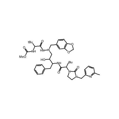 CCC(C)C(C(=O)NC(Cc1ccccc1)C(O)CN(Cc1ccc2c(c1)OCO2)NC(=O)C(NC(=O)OC)C(C)(C)C)N1CCN(Cc2cccc(C)n2)C1=O